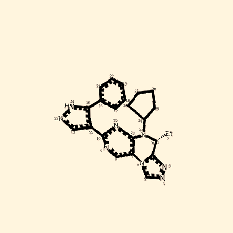 CC[C@@H]1c2nncn2-c2cnc(-c3cn[nH]c3-c3ccccc3)nc2N1C1CCCC1